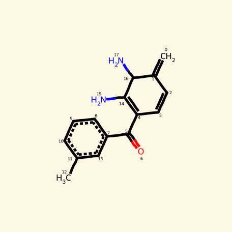 C=C1C=CC(C(=O)c2cccc(C)c2)=C(N)C1N